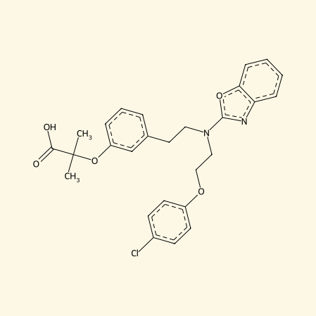 CC(C)(Oc1cccc(CCN(CCOc2ccc(Cl)cc2)c2nc3ccccc3o2)c1)C(=O)O